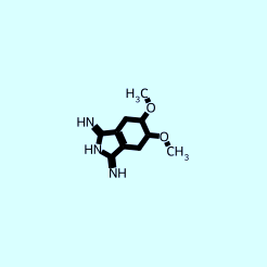 COC1CC2=C(CC1OC)C(=N)NC2=N